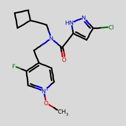 CO[n+]1ccc(CN(CC2CCC2)C(=O)c2cc(Cl)n[nH]2)c(F)c1